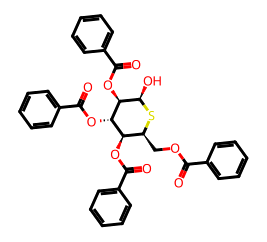 O=C(OC[C@@H]1S[C@H](O)[C@H](OC(=O)c2ccccc2)[C@@H](OC(=O)c2ccccc2)[C@@H]1OC(=O)c1ccccc1)c1ccccc1